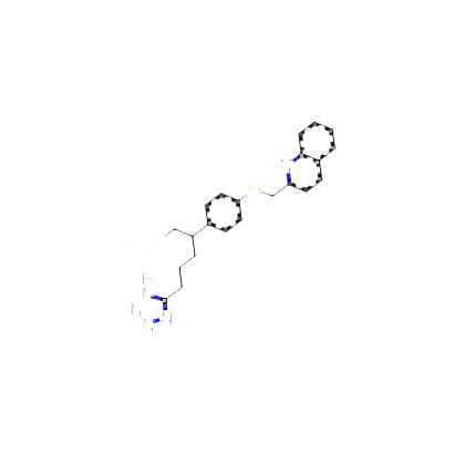 O=C(O)CC(CCCc1nnn[nH]1)c1ccc(OCc2ccc3ccccc3n2)cc1